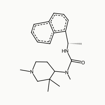 C[C@H](NC(=O)N(C)C1CCN(C)CC1(C)C)c1cccc2ccccc12